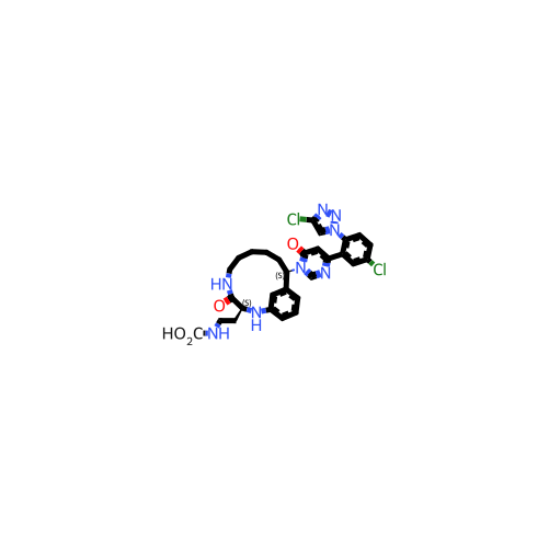 O=C(O)NCC[C@@H]1Nc2cccc(c2)[C@@H](n2cnc(-c3cc(Cl)ccc3-n3cc(Cl)nn3)cc2=O)CCCCCNC1=O